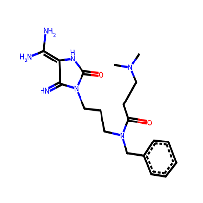 CN(C)CCC(=O)N(CCCN1C(=N)C(=C(N)N)NC1=O)Cc1ccccc1